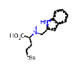 CC(C)(C)CCC(NCc1cc2ccccc2[nH]1)C(=O)O